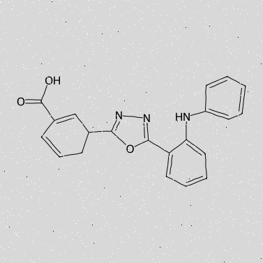 O=C(O)C1=CC(c2nnc(-c3ccccc3Nc3ccccc3)o2)CC=C1